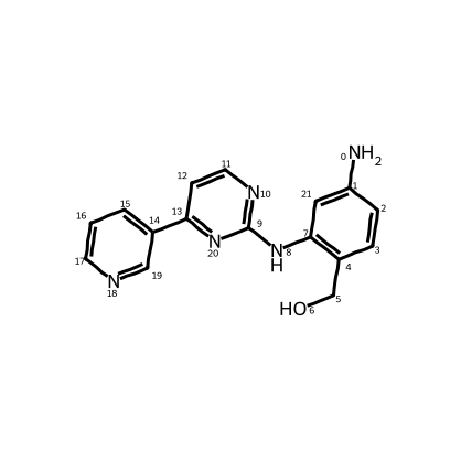 Nc1ccc(CO)c(Nc2nccc(-c3cccnc3)n2)c1